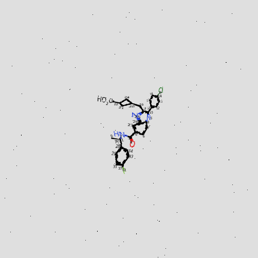 C[C@@H](NC(=O)c1ccc2nc(-c3ccc(Cl)cc3)c(CC3CC(C(=O)O)C3)nc2c1)c1ccc(F)cc1